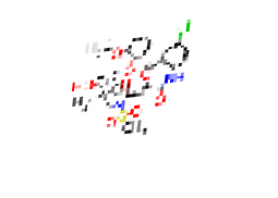 COc1cccc([C@H]2O[C@H](CC(=O)N(CC(C)(C)CO)S(C)(=O)=O)C(=O)Nc3ccc(Cl)cc32)c1OC